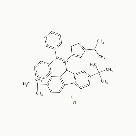 CC(C)C1=CC[C]([Zr+2](=[C](c2ccccc2)c2ccccc2)[CH]2c3cc(C(C)(C)C)ccc3-c3ccc(C(C)(C)C)cc32)=C1.[Cl-].[Cl-]